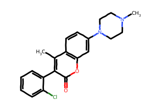 Cc1c(-c2ccccc2Cl)c(=O)oc2cc(N3CCN(C)CC3)ccc12